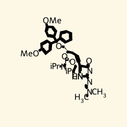 COc1ccc(C(OC[C@H](CC#Cc2c[nH]c(N=CN(C)C)nc2=O)OP(OCCC#N)N(C(C)C)C(C)C)(c2ccccc2)c2ccc(OC)cc2)cc1